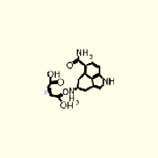 NC(=O)c1ccc2[nH]cc3c2c1CC(N)C3.O=C(O)/C=C\C(=O)O